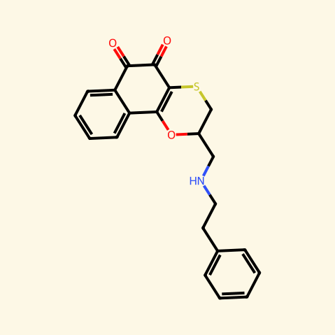 O=C1C(=O)c2ccccc2C2=C1SCC(CNCCc1ccccc1)O2